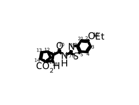 CCOc1ccc2sc(NC(=O)C3C4C=CC(C4)C3C(=O)O)nc2c1